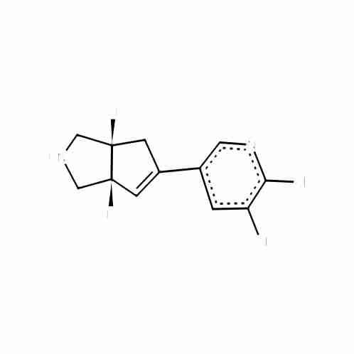 Clc1cc(C2=C[C@@H]3CNC[C@@H]3C2)cnc1Cl